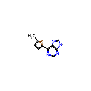 Cc1ccc(-c2ncnc3c2N=C[N]3)s1